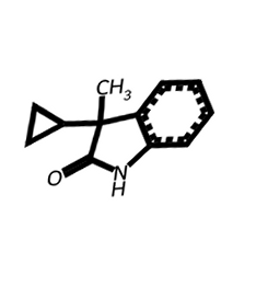 CC1(C2CC2)C(=O)Nc2ccccc21